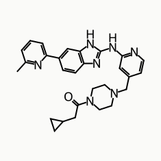 Cc1cccc(-c2ccc3nc(Nc4cc(CN5CCN(C(=O)CC6CC6)CC5)ccn4)[nH]c3c2)n1